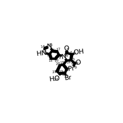 CCCC(=O)C1=C(O)C(=O)N(c2ccc3[nH]cnc3c2)C1c1ccc(O)c(Br)c1